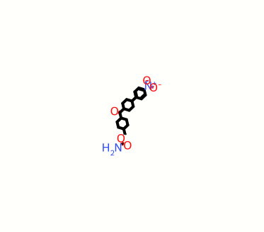 NC(=O)OCC1CCC(C(=O)C2CCC(c3ccc([N+](=O)[O-])cc3)CC2)CC1